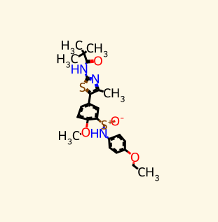 CCOc1ccc(N[S+]([O-])c2cc(-c3sc(NC(=O)C(C)(C)C)nc3C)ccc2OC)cc1